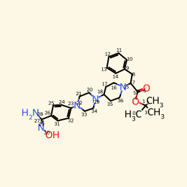 CC(C)(C)OC(=O)C(Cc1ccccc1)N1CCC(N2CCN(c3ccc(/C(N)=N\O)cc3)CC2)CC1